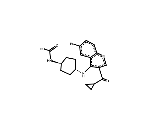 O=C(O)N[C@H]1CC[C@H](Nc2c(C(=O)C3CC3)cnc3ccc(Br)cc23)CC1